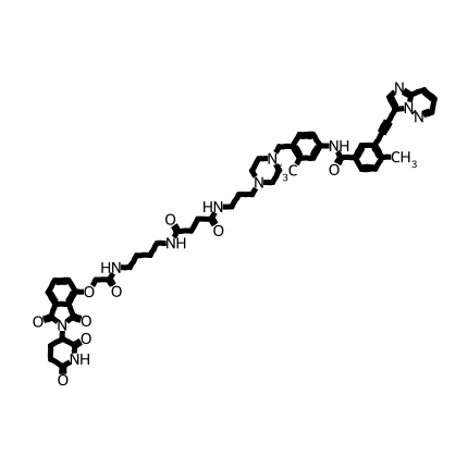 Cc1ccc(C(=O)Nc2ccc(CN3CCN(CCCNC(=O)CCC(=O)NCCCCNC(=O)COc4cccc5c4C(=O)N(C4CCC(=O)NC4=O)C5=O)CC3)c(C(F)(F)F)c2)cc1C#Cc1cnc2cccnn12